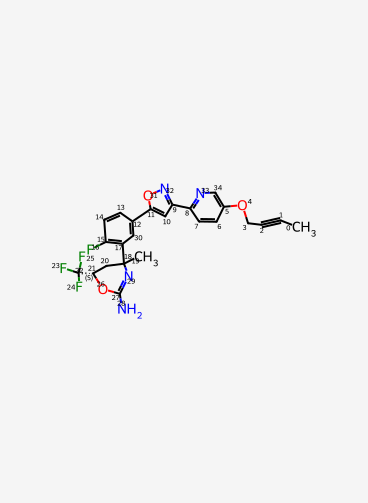 CC#CCOc1ccc(-c2cc(-c3ccc(F)c(C4(C)C[C@@H](C(F)(F)F)OC(N)=N4)c3)on2)nc1